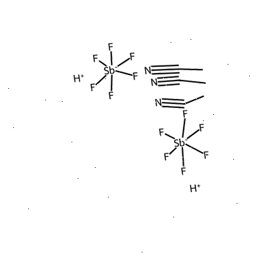 CC#N.CC#N.CC#N.[F][Sb-]([F])([F])([F])([F])[F].[F][Sb-]([F])([F])([F])([F])[F].[H+].[H+]